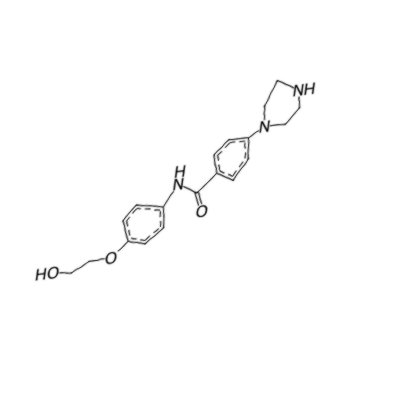 O=C(Nc1ccc(OCCO)cc1)c1ccc(N2CCNCC2)cc1